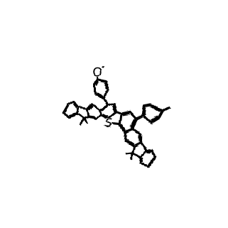 COc1ccc(-c2cc3c4cc(-c5ccc(C)cc5)c5cc6c(cc5c4sc3c3cc4c(cc23)-c2ccccc2C4(C)C)C(C)(C)c2ccccc2-6)cc1